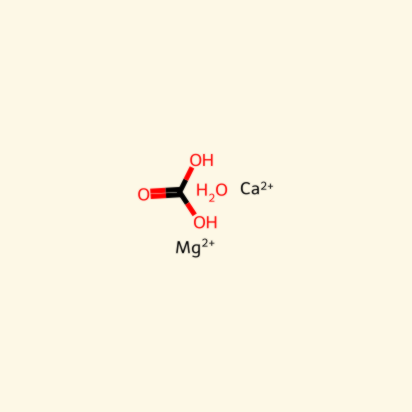 O.O=C(O)O.[Ca+2].[Mg+2]